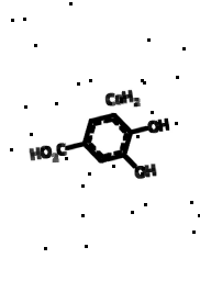 O=C(O)c1ccc(O)c(O)c1.[CaH2]